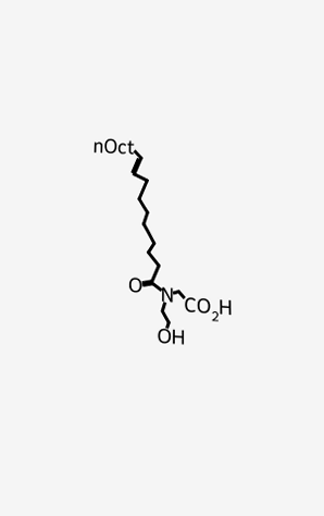 CCCCCCCCC=CCCCCCCCC(=O)N(CCO)CC(=O)O